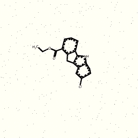 CCOC(=O)c1cccc2c1Cc1c-2[nH]c2ccc(Cl)cc12